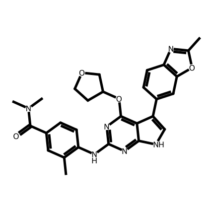 Cc1nc2ccc(-c3c[nH]c4nc(Nc5ccc(C(=O)N(C)C)cc5C)nc(OC5CCOC5)c34)cc2o1